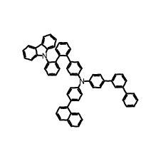 c1ccc(-c2cccc(-c3ccc(N(c4ccc(-c5ccccc5-c5ccccc5-n5c6ccccc6c6ccccc65)cc4)c4ccc(-c5cccc6ccccc56)cc4)cc3)c2)cc1